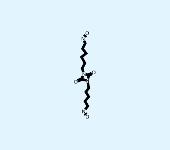 O=NCCCCCCN1C(=O)N(CCCCCN=O)C1=O